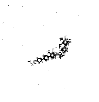 CC1CCC(c2ccc(-c3ccc(CCC(F)(F)Oc4ccc(-c5cc(F)c(F)c(F)c5)c(F)c4)c(F)c3F)cc2)CC1